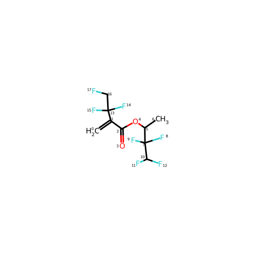 C=C(C(=O)OC(C)C(F)(F)C(F)F)C(F)(F)CF